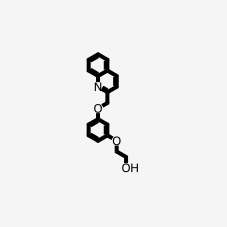 OCCOc1cccc(OCc2ccc3ccccc3n2)c1